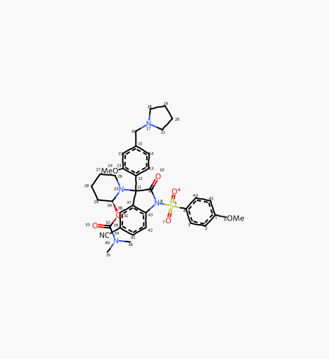 COc1ccc(S(=O)(=O)N2C(=O)C(c3ccc(CN4CCCC4)cc3OC)(N3CCCC[C@@H]3OC(=O)N(C)C)c3cc(C#N)ccc32)cc1